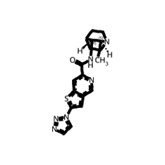 C[C@H]1[C@H](NC(=O)c2cc3sc(-n4ccnn4)cc3cn2)C2CCN1CC2